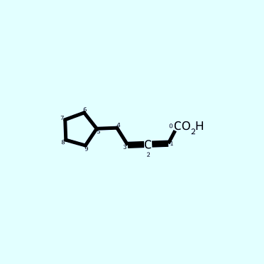 O=C(O)C=C=CCC1CCCC1